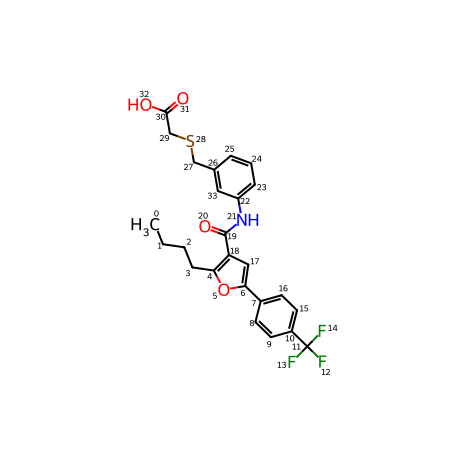 CCCCc1oc(-c2ccc(C(F)(F)F)cc2)cc1C(=O)Nc1cccc(CSCC(=O)O)c1